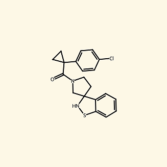 O=C(N1CCC2(C1)NSc1ccccc12)C1(c2ccc(Cl)cc2)CC1